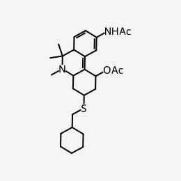 CC(=O)NC1=CC2=C3C(OC(C)=O)CC(SCC4CCCCC4)CC3N(C)C(C)(C)C2C=C1